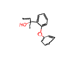 C=CC(C)(O)c1ccccc1Oc1ccccc1